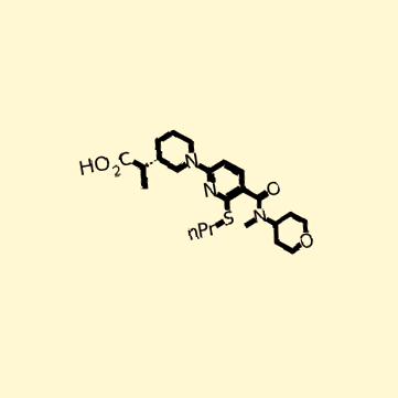 CCCSc1nc(N2CCC[C@@H](C(C)C(=O)O)C2)ccc1C(=O)N(C)C1CCOCC1